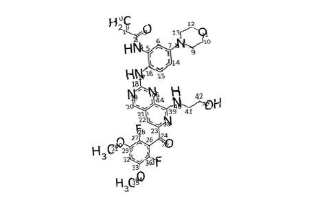 C=CC(=O)Nc1cc(N2CCOCC2)ccc1Nc1ncc2cc(C(=O)c3c(F)c(OC)cc(OC)c3F)nc(NCCO)c2n1